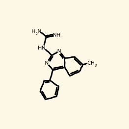 Cc1ccc2c(-c3ccccc3)nc(NC(=N)N)nc2c1